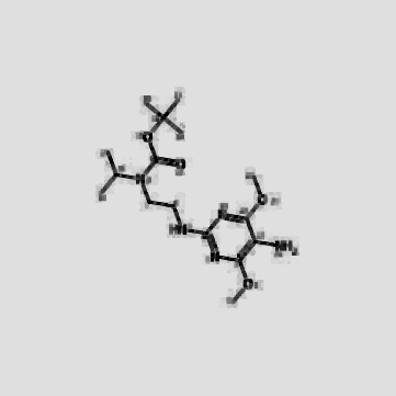 COc1nc(NCCN(C(=O)OC(C)(C)C)C(C)C)nc(OC)c1N